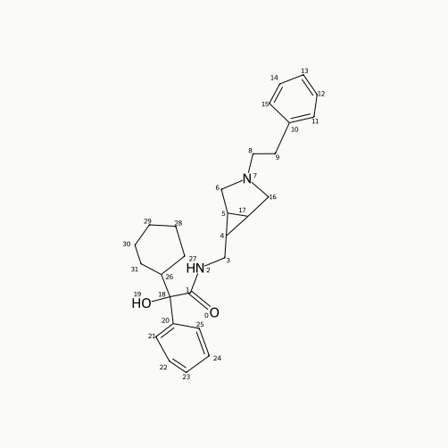 O=C(NCC1C2CN(CCc3ccccc3)CC12)C(O)(c1ccccc1)C1CCCCC1